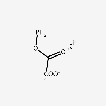 O=C([O-])C(=O)OP.[Li+]